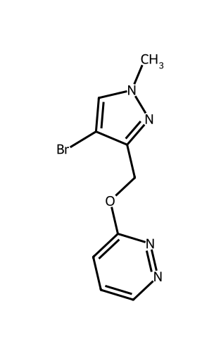 Cn1cc(Br)c(COc2cccnn2)n1